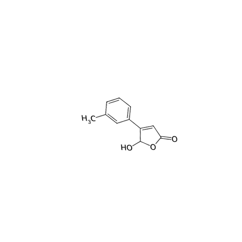 Cc1cccc(C2=CC(=O)OC2O)c1